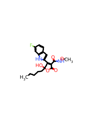 CCCCCC1(O)OC(=O)C(C(=O)NOC)=C1c1cc2ccc(F)cc2[nH]1